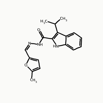 Cc1ccc(/C=N\NC(=O)c2[nH]c3ccccc3c2C(C)C)o1